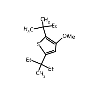 CCC(C)(C)c1sc(C(C)(CC)CC)cc1OC